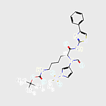 CC(C)(C)OC(=O)NCCCC[C@@H](C(=O)Nc1nc(-c2ccccc2)cs1)N(C=O)c1ccn(S(C)(=O)=O)c1